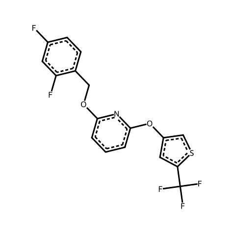 Fc1ccc(COc2cccc(Oc3csc(C(F)(F)F)c3)n2)c(F)c1